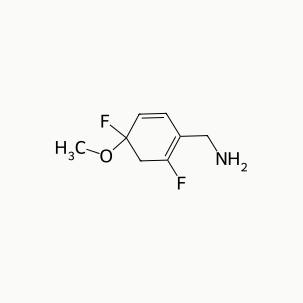 COC1(F)C=CC(CN)=C(F)C1